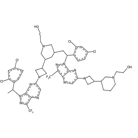 CC(c1ccc(Cl)cc1Cl)n1nc(C(F)(F)F)c2ncc(N3CC(C4CC(CC(c5ccc(Cl)cc5Cl)n5nc(C(F)(F)F)c6ncc(N7CC(C8CCCN(CCO)C8)C7)nc65)CN(CCO)C4)C3)nc21